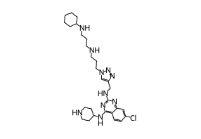 Clc1ccc2c(NC3CCNCC3)nc(NCc3cn(CCCNCCCNC4CCCCC4)nn3)nc2c1